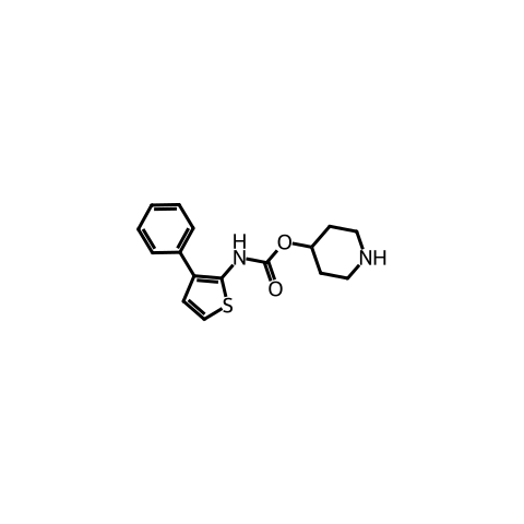 O=C(Nc1sccc1-c1ccccc1)OC1CCNCC1